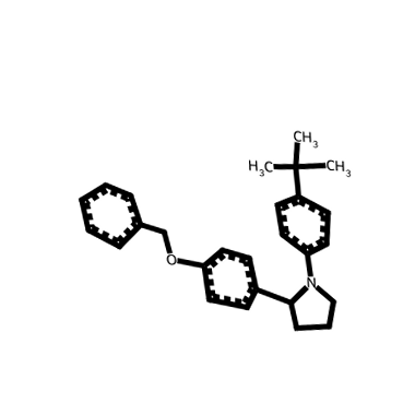 CC(C)(C)c1ccc(N2CCCC2c2ccc(OCc3ccccc3)cc2)cc1